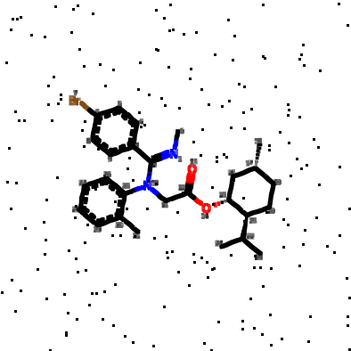 C/N=C(\c1ccc(Br)cc1)N(CC(=O)O[C@@H]1C[C@H](C)CC[C@H]1C(C)C)c1ccccc1C